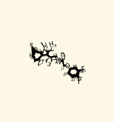 Cc1[nH]c2c(F)ccc(C)c2c1CCNC(=O)COc1ccc(F)c(F)c1